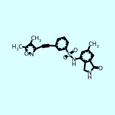 Cc1cc(NS(=O)(=O)c2cccc(C#Cc3noc(C)c3C)c2)c2c(c1)C(=O)NC2